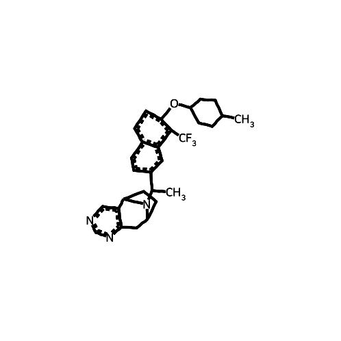 CC1CCC(Oc2ccc3ccc(C(C)N4C5CCC4c4cncnc4C5)cc3c2C(F)(F)F)CC1